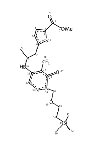 COC(=O)c1ccc(CC(C)Bc2cnn(COCC[Si](C)(C)C)c(=O)c2C(F)(F)F)s1